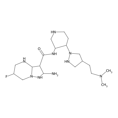 CN(C)CCC1CNN(C2CCNCC2NC(=O)C2C(N)NN3CC(F)CNC23)C1